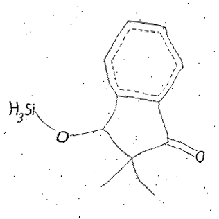 CC1(C)C(=O)c2ccccc2C1O[SiH3]